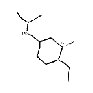 CCN1CCC(NC(C)C)C[C@@H]1C